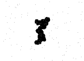 c1ccc(-n2c3ccccc3c3c2ccc2c4cc5c(cc4n(-c4nc(-c6ccc(-c7cccc8cc(-n9c%10ccccc%10c%10c9ccc9c%11cc%12c(cc%11n(-c%11ccccc%11)c9%10)oc9ccccc9%12)c9ccccc9c78)cc6)c6ccccc6n4)c23)oc2ccccc25)cc1